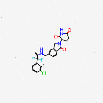 C=C(NCc1ccc2c(c1)CN(C1CCC(=O)NC1=O)C2=O)C(F)(F)c1cccc(Cl)c1C